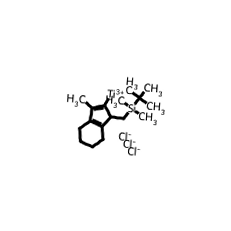 CC1=[C]([Ti+3])C(C[Si](C)(C)C(C)(C)C)C2=C1CCCC2.[Cl-].[Cl-].[Cl-]